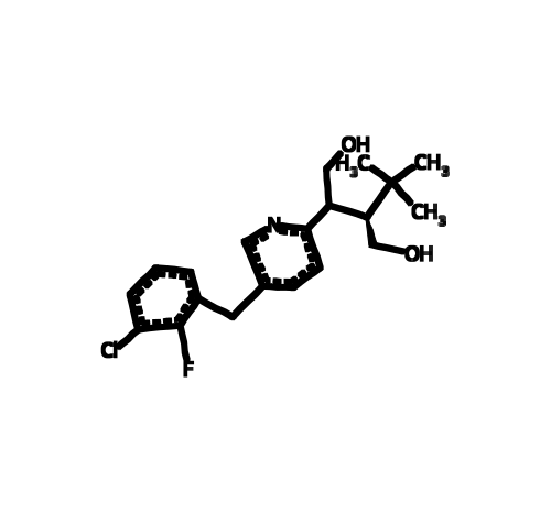 CC(C)(C)[C@@H](CO)C(CO)c1ccc(Cc2cccc(Cl)c2F)cn1